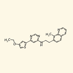 CCOc1csc(-c2cc(NCCc3ccc4cccnc4c3C)ncn2)c1